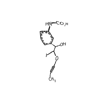 CC#COC(I)C(O)c1cccc(NC(=O)O)c1